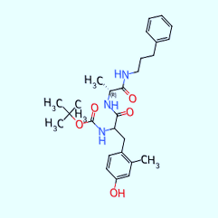 Cc1cc(O)ccc1CC(NC(=O)OC(C)(C)C)C(=O)N[C@H](C)C(=O)NCCCc1ccccc1